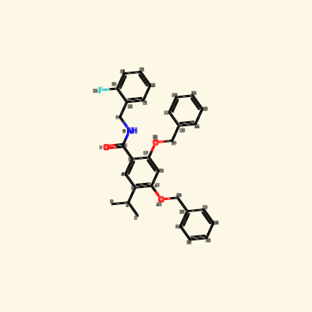 CC(C)c1cc(C(=O)NCc2ccccc2F)c(OCc2ccccc2)cc1OCc1ccccc1